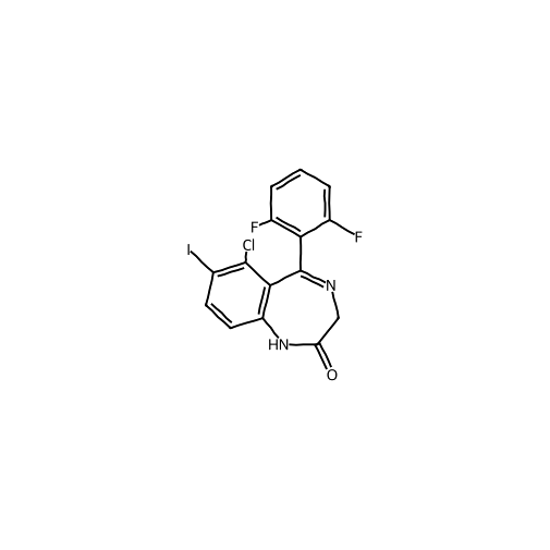 O=C1CN=C(c2c(F)cccc2F)c2c(ccc(I)c2Cl)N1